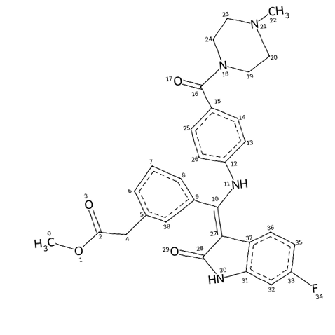 COC(=O)Cc1cccc(C(Nc2ccc(C(=O)N3CCN(C)CC3)cc2)=C2C(=O)Nc3cc(F)ccc32)c1